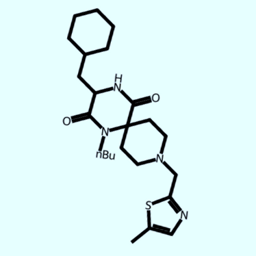 CCCCN1C(=O)C(CC2CCCCC2)NC(=O)C12CCN(Cc1ncc(C)s1)CC2